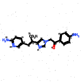 Nc1ccc(C(=O)Cn2cnc(C(Cc3ccc(N)nc3)C(=O)O)c2)cc1